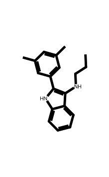 CCCNc1c(-c2cc(C)cc(C)c2)[nH]c2ccccc12